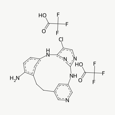 Nc1ccc2cc1CCc1cncc(c1)Nc1ncc(Cl)c(n1)N2.O=C(O)C(F)(F)F.O=C(O)C(F)(F)F